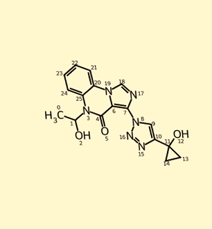 CC(O)n1c(=O)c2c(-n3cc(C4(O)CC4)nn3)ncn2c2ccccc21